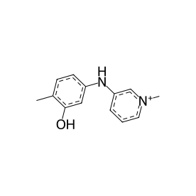 Cc1ccc(Nc2ccc[n+](C)c2)cc1O